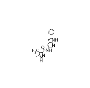 Cc1[nH]nc(C(=O)Nc2cnc3[nH]c(-c4ccccc4)cc3c2)c1C(F)(F)F